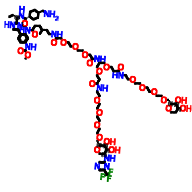 CC[C@H](NC(=O)[C@H]1CC[C@H](CN)CC1)c1nc(-c2ccc(NC(=O)OC)cc2NC(=O)CCC(C)CCNC(=O)COCCOCCOCC(=O)NC(COCCC(=O)NCCOCCOCCOCCOC[C@H]2OC[C@H](Nc3cncc(C(F)(F)F)n3)[C@@H](O)[C@H]2O)COCCC(=O)NCCOCCOCCOCCOC[C@H]2OCC[C@@H](O)[C@H]2O)c[nH]1